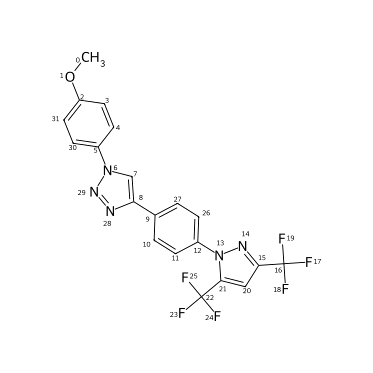 COc1ccc(-n2cc(-c3ccc(-n4nc(C(F)(F)F)cc4C(F)(F)F)cc3)nn2)cc1